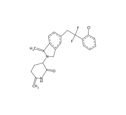 C=C1CCC(N2Cc3cc(CC(F)(F)c4ccccc4Cl)ccc3C2=C)C(=O)N1